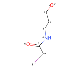 [O]CCCNC(=O)CI